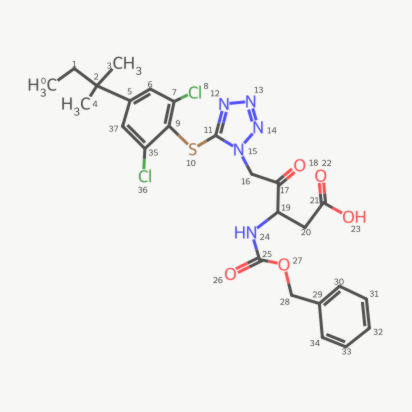 CCC(C)(C)c1cc(Cl)c(Sc2nnnn2CC(=O)C(CC(=O)O)NC(=O)OCc2ccccc2)c(Cl)c1